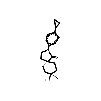 C[C@]1(O)CC[C@@]2(CCN(c3ccc(C4CC4)cc3)C2=O)CC1